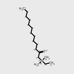 CCCCCCCCCCCC(=O)C[N+](C)(C)CC